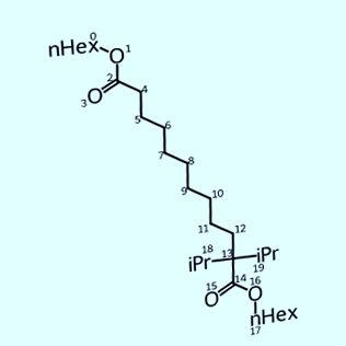 CCCCCCOC(=O)CCCCCCCCCC(C(=O)OCCCCCC)(C(C)C)C(C)C